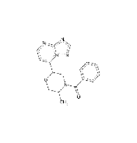 CC1COC(c2ccnc3ncnn23)CN1C(=O)c1ccccc1